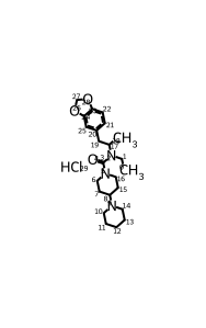 CCN(C(=O)N1CCC(N2CCCCC2)CC1)C(C)Cc1ccc2c(c1)OCO2.Cl